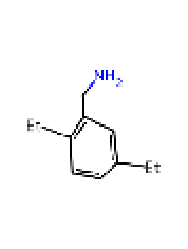 CCc1ccc(CC)c(CN)c1